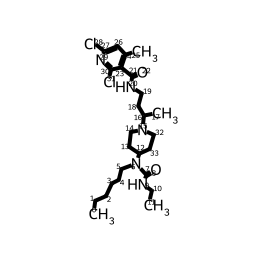 CCCCCCN(C(=O)NCC)C1CCN(C(C)CCNC(=O)c2c(C)cc(Cl)nc2Cl)CC1